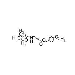 COc1ccc(COC(=O)C#CCNCC(=O)OC(C)(C)C)cc1